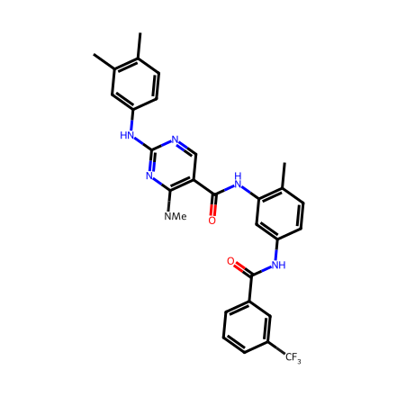 CNc1nc(Nc2ccc(C)c(C)c2)ncc1C(=O)Nc1cc(NC(=O)c2cccc(C(F)(F)F)c2)ccc1C